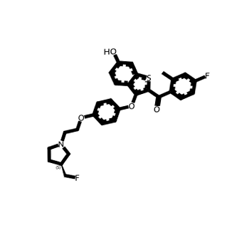 Cc1cc(F)ccc1C(=O)c1sc2cc(O)ccc2c1Oc1ccc(OCCN2CC[C@H](CF)C2)cc1